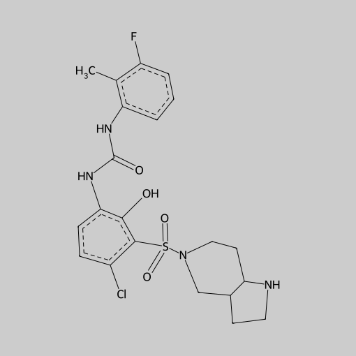 Cc1c(F)cccc1NC(=O)Nc1ccc(Cl)c(S(=O)(=O)N2CCC3NCCC3C2)c1O